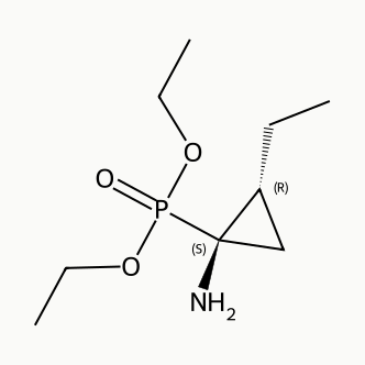 CCOP(=O)(OCC)[C@@]1(N)C[C@H]1CC